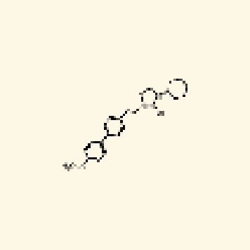 COc1ccc(-c2ccc(CO[C@@H]3CC[C@@H](N4CCCCC4)[C@@H]3O)cc2)cc1